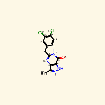 CC(C)c1n[nH]c2c(=O)[nH]c(Cc3ccc(Cl)c(Cl)c3)nc12